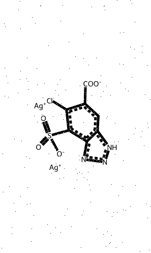 O=C([O-])c1cc2[nH]nnc2c(S(=O)(=O)[O-])c1Cl.[Ag+].[Ag+]